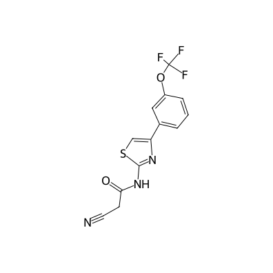 N#CCC(=O)Nc1nc(-c2cccc(OC(F)(F)F)c2)cs1